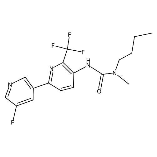 CCCCN(C)C(=O)Nc1ccc(-c2cncc(F)c2)nc1C(F)(F)F